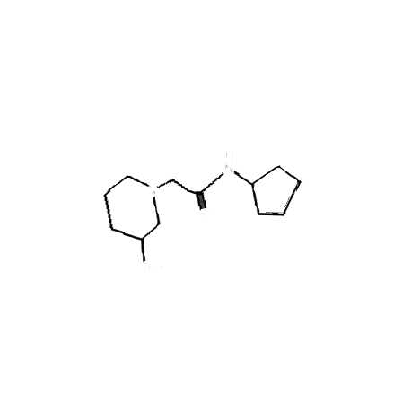 O=CC1CCCN(CC(=O)NC2CCCC2)C1